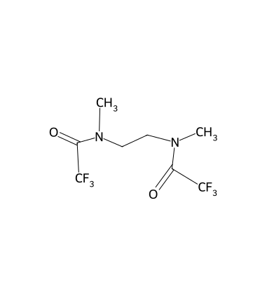 CN(CCN(C)C(=O)C(F)(F)F)C(=O)C(F)(F)F